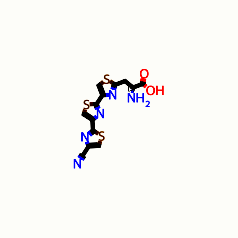 N#Cc1csc(-c2csc(-c3csc(C[C@H](N)C(=O)O)n3)n2)n1